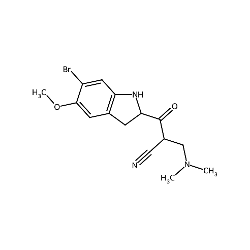 COc1cc2c(cc1Br)NC(C(=O)C(C#N)CN(C)C)C2